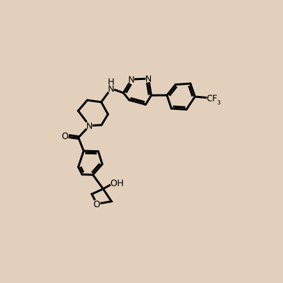 O=C(c1ccc(C2(O)COC2)cc1)N1CCC(Nc2ccc(-c3ccc(C(F)(F)F)cc3)nn2)CC1